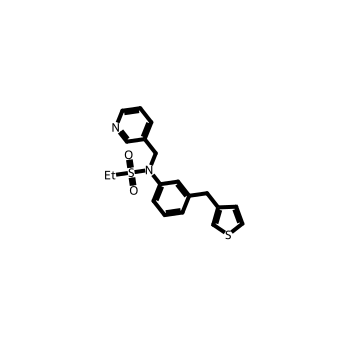 CCS(=O)(=O)N(Cc1cccnc1)c1cccc(Cc2ccsc2)c1